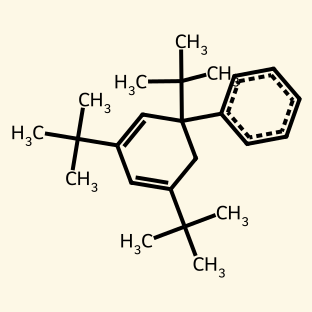 CC(C)(C)C1=CC(c2ccccc2)(C(C)(C)C)CC(C(C)(C)C)=C1